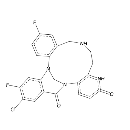 O=C1c2cc(Cl)c(F)cc2N2CN1c1ccc(=O)[nH]c1CCNCc1cc(F)ccc12